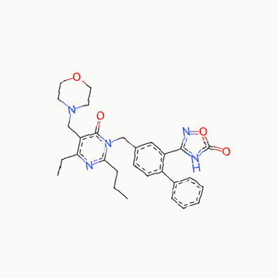 CCCc1nc(CC)c(CN2CCOCC2)c(=O)n1Cc1ccc(-c2ccccc2)c(-c2noc(=O)[nH]2)c1